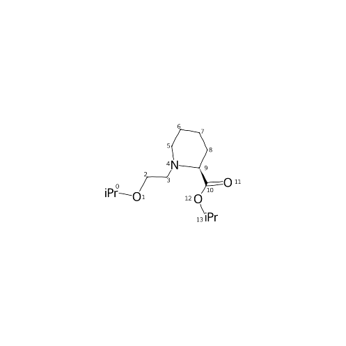 CC(C)OCCN1CCCC[C@H]1C(=O)OC(C)C